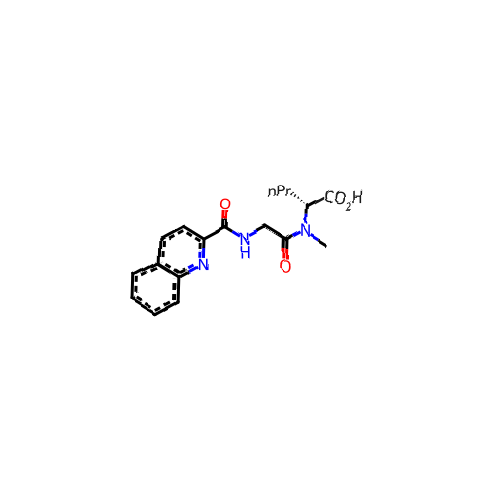 CCC[C@H](C(=O)O)N(C)C(=O)CNC(=O)c1ccc2ccccc2n1